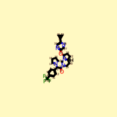 O=C(C(c1ccc(C(F)(F)F)cc1)N1CCCC1)N1CC[C@@H]2CC[C@H](Oc3cnc(C4CC4)cn3)N2C1